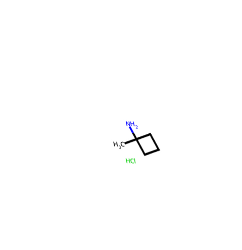 CC1(N)CCC1.Cl